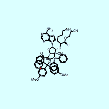 COc1ccc(C(OC(C(=O)c2ccccc2)[C@H]2O[C@@H](n3cnc4c(N)ncnc43)[C@H](OC(CCCCN)C(=O)OCCC#N)[C@@]2(O)[Si](c2ccccc2)(c2ccccc2)C(C)(C)C)(c2ccccc2)c2ccc(OC)cc2)cc1